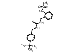 CC(C)(C)c1ccc(CNC(=S)NCc2ccccc2NS(C)(=O)=O)cc1